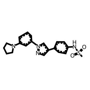 CS(=O)(=O)Nc1ccc(-c2cnn(-c3cccc(N4CCCC4)c3)c2)cc1